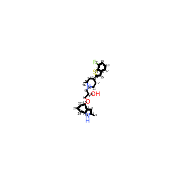 Cc1cc2c(OC[C@@H](O)CN3CC[C@H](c4cc5cccc(F)c5s4)C[C@@H]3C)cccc2[nH]1